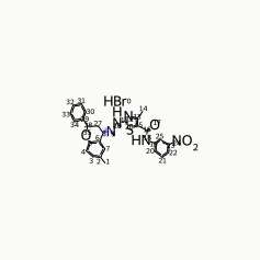 Br.Cc1ccc2c(c1)/C(=N/Nc1nc(C)c(C(=O)Nc3cccc([N+](=O)[O-])c3)s1)CC(c1ccccc1)O2